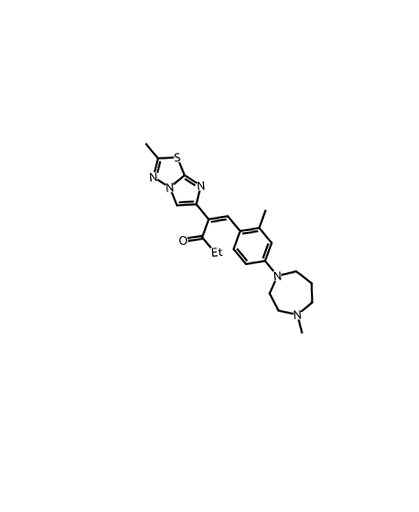 CCC(=O)/C(=C\c1ccc(N2CCCN(C)CC2)cc1C)c1cn2nc(C)sc2n1